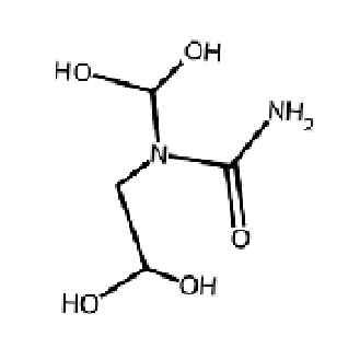 NC(=O)N(CC(O)O)C(O)O